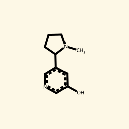 CN1CCCC1c1cncc(O)c1